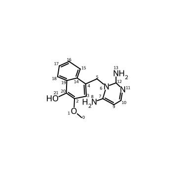 COc1cc(CN2C(N)=CC=NC2N)c2ccccc2c1O